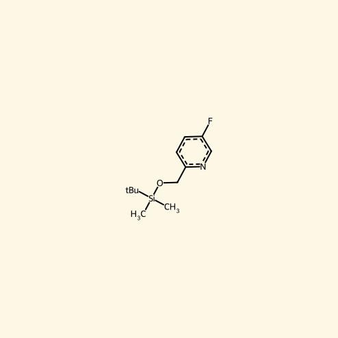 CC(C)(C)[Si](C)(C)OCc1ccc(F)cn1